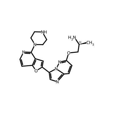 C[C@H](N)COc1ccc2ncc(-c3cc4c(N5CCNCC5)nccc4o3)n2n1